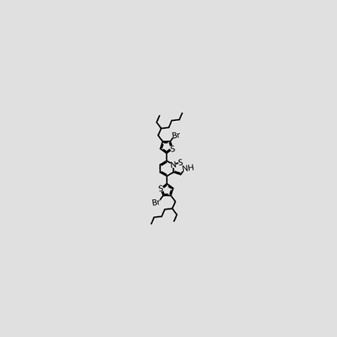 CCCCC(CC)Cc1cc(C2=CC=C(c3cc(CC(CC)CCCC)c(Br)s3)N3SNC=C23)sc1Br